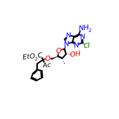 CCOC(=O)C(Cc1ccccc1)(OC[C@H]1O[C@@H](n2cnc3c(N)nc(Cl)nc32)[C@H](O)[C@@H]1C)C(C)=O